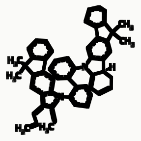 C=C/C=c1\c(=C/C)n(-c2ccccc2-c2ccccc2N2C3=CC=CC[C@@H]3c3cc4c(cc32)-c2ccccc2C4(C)C)c2cc3c(cc12)C(C)(C)c1ccccc1-3